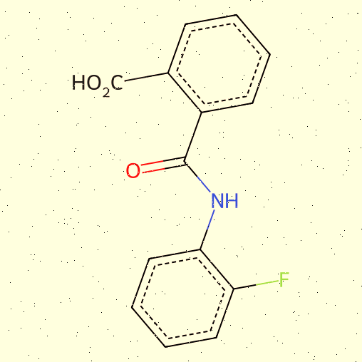 O=C(O)c1ccccc1C(=O)Nc1ccccc1F